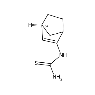 NC(=S)NC1=C[C@H]2CCC1C2